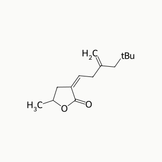 C=C(C/C=C1/CC(C)OC1=O)CC(C)(C)C